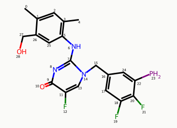 Cc1cc(C)c(Nc2nc(=O)c(F)cn2Cc2cc(F)c(F)c(P)c2)cc1CO